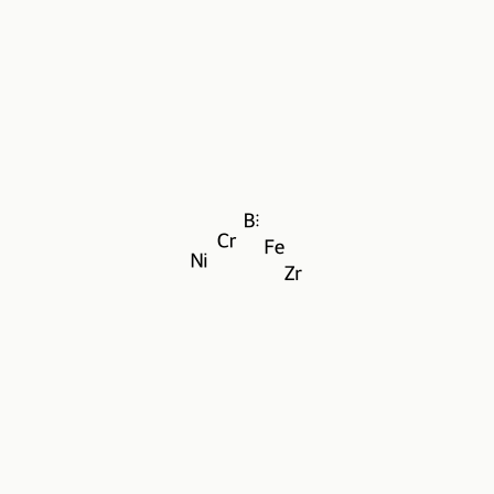 [B].[Cr].[Fe].[Ni].[Zr]